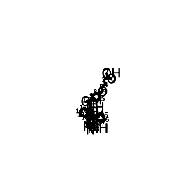 O=C(O)CCCOc1ccc(C(=O)Nc2ccccc2S(=O)(=O)c2ccccc2-c2nnn[nH]2)cc1